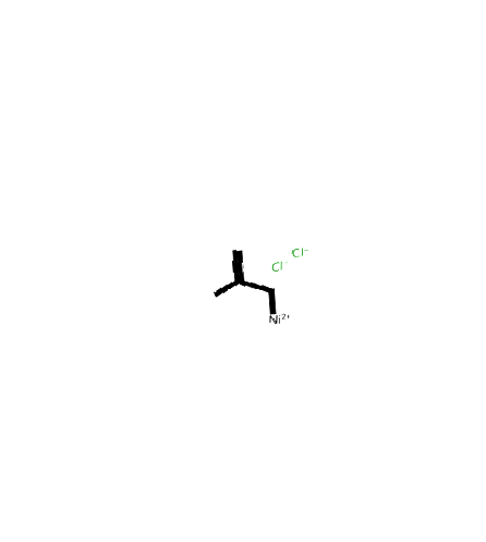 C=C(C)[CH2][Ni+2].[Cl-].[Cl-]